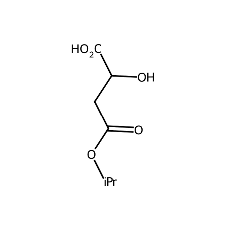 CC(C)OC(=O)CC(O)C(=O)O